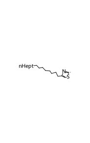 CCCCCCCCCCCCCCCc1cs[c]n1